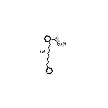 O=C(O)[C@@H]1OC1c1ccccc1CCCCCCCCc1ccccc1.[LiH]